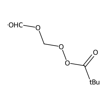 CC(C)(C)C(=O)OOCO[C]=O